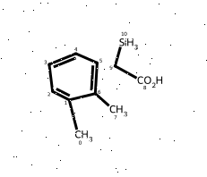 Cc1ccccc1C.O=C(O)C[SiH3]